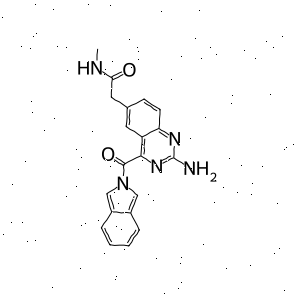 CNC(=O)Cc1ccc2nc(N)nc(C(=O)n3cc4ccccc4c3)c2c1